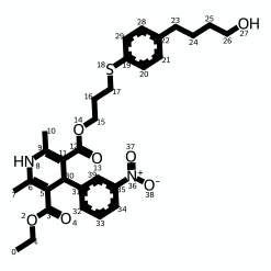 CCOC(=O)C1=C(C)NC(C)=C(C(=O)OCCCSc2ccc(CCCCO)cc2)C1c1cccc([N+](=O)[O-])c1